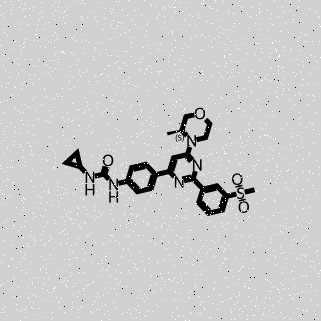 C[C@H]1COCCN1c1cc(-c2ccc(NC(=O)NC3CC3)cc2)nc(-c2cccc(S(C)(=O)=O)c2)n1